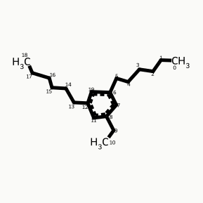 CCCCCCc1cc(CC)cc(CCCCCC)c1